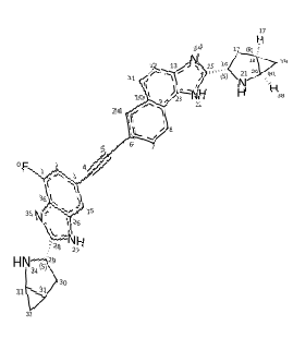 Fc1cc(C#Cc2ccc3c(ccc4nc([C@@H]5C[C@H]6C[C@H]6N5)[nH]c43)c2)cc2[nH]c([C@@H]3CC4CC4N3)nc12